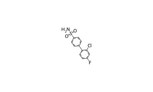 NS(=O)(=O)c1ccc(-c2ccc(F)cc2Cl)cc1